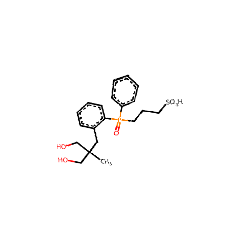 CC(CO)(CO)Cc1ccccc1P(=O)(CCCS(=O)(=O)O)c1ccccc1